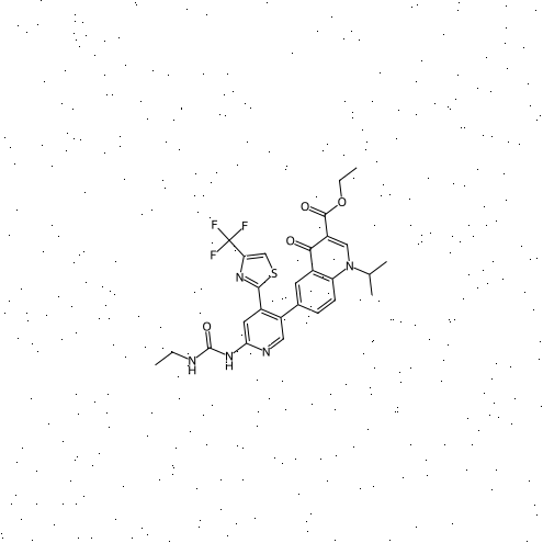 CCNC(=O)Nc1cc(-c2nc(C(F)(F)F)cs2)c(-c2ccc3c(c2)c(=O)c(C(=O)OCC)cn3C(C)C)cn1